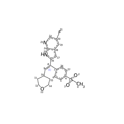 CS(=O)(=O)c1ccc(/C(=C\C2CCOCC2)c2cc3cc(F)cnc3[nH]2)cc1